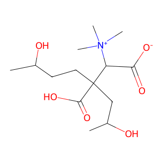 CC(O)CCC(CC(C)O)(C(=O)O)C(C(=O)[O-])[N+](C)(C)C